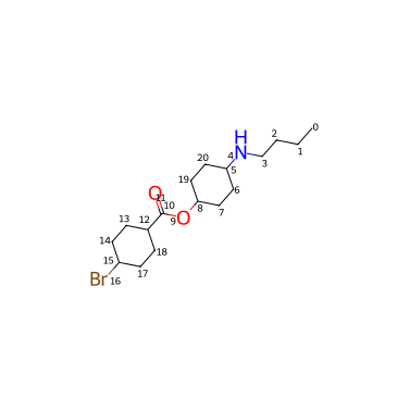 CCCCNC1CCC(OC(=O)C2CCC(Br)CC2)CC1